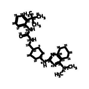 CN(C)c1nc(NC2CCC(CNC(=O)Nc3ccccc3C(C)(C)C)CC2)nc2c1CCCC2